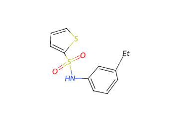 CCc1cccc(NS(=O)(=O)c2cccs2)c1